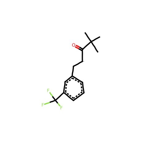 CC(C)(C)C(=O)[CH]Cc1cccc(C(F)(F)F)c1